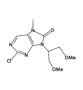 COCC(COC)n1c(=O)n(C)c2cnc(Cl)nc21